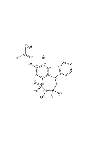 CCCCC1(CC)CC(c2ccccc2)c2cc(Br)c(O/C=C(\F)C(=O)O)cc2S(=O)(=O)N1C